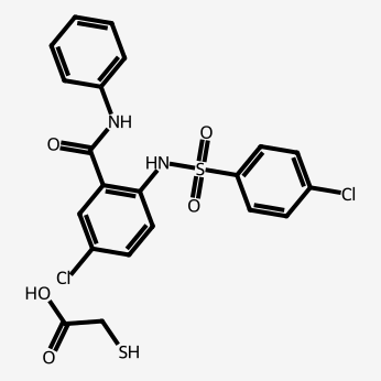 O=C(Nc1ccccc1)c1cc(Cl)ccc1NS(=O)(=O)c1ccc(Cl)cc1.O=C(O)CS